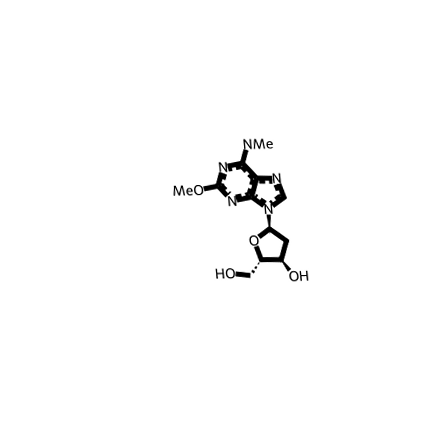 CNc1nc(OC)nc2c1ncn2[C@H]1C[C@@H](O)[C@H](CO)O1